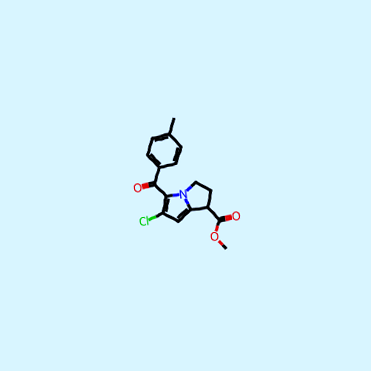 COC(=O)C1CCn2c1cc(Cl)c2C(=O)c1ccc(C)cc1